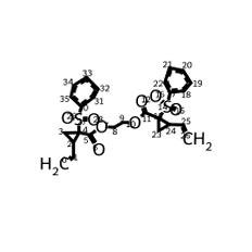 C=CC1CC1(C(=O)OCCOC(=O)C1(S(=O)(=O)c2ccccc2)CC1C=C)S(=O)(=O)c1ccccc1